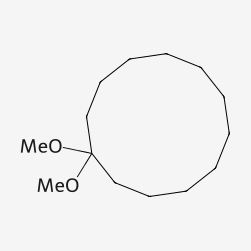 COC1(OC)CCCCCCCCCCC1